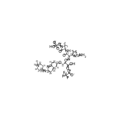 CC1(C)C(NC(=O)C(=NOC(COc2ccc3nc(NC4CC[N+](C)(C)CC4)ccc3c2)C(=O)O)c2csc(N)n2)C(=O)N1OS(=O)(=O)O.O=C([O-])C(F)(F)F